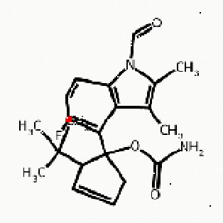 Cc1c(C)n(C=O)c2ccc(F)c(C3(OC(N)=O)CC=CC3C(C)(C)C)c12